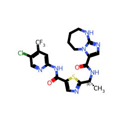 C[C@@H](NC(=O)c1cnc2n1CCCCN2)c1ncc(C(=O)Nc2cc(C(F)(F)F)c(Cl)cn2)s1